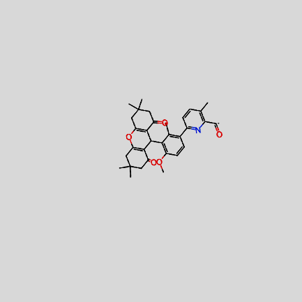 COc1ccc(-c2ccc(C)c([C]=O)n2)c(C)c1C1C2=C(CC(C)(C)CC2=O)OC2=C1C(=O)CC(C)(C)C2